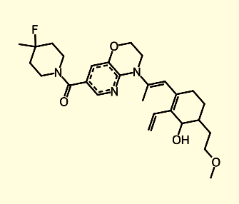 C=CC1=C(/C=C(\C)N2CCOc3cc(C(=O)N4CCC(C)(F)CC4)cnc32)CCC(CCOC)C1O